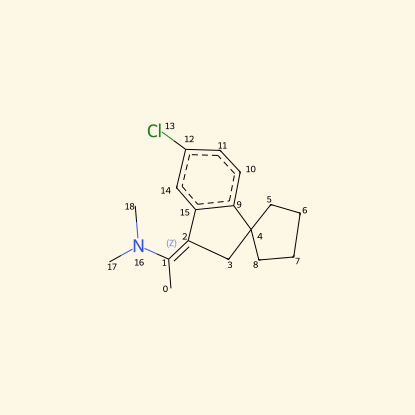 C/C(=C1\CC2(CCCC2)c2ccc(Cl)cc21)N(C)C